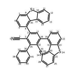 N#Cc1c(-c2cccc3sc4ccccc4c23)cc(-c2cccc3sc4ccccc4c23)c(C#N)c1-c1ccccc1